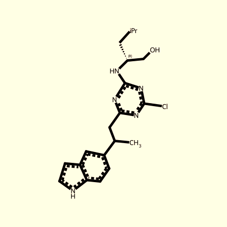 CC(C)C[C@H](CO)Nc1nc(Cl)nc(CC(C)c2ccc3[nH]ccc3c2)n1